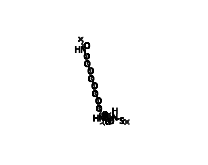 CC(C)[C@H](NC(=O)CCOCCOCCOCCOCCOCCOCCOCCOCCNC(=O)CCC(C)(C)C)C(=O)N[C@@H](C)C(=O)NCCSCC(C)(C)C